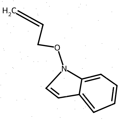 C=CCOn1ccc2ccccc21